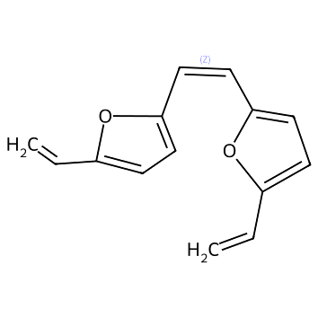 C=Cc1ccc(/C=C\c2ccc(C=C)o2)o1